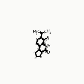 C=C(C)c1ccc2c3c(c(=O)[nH]c2c1F)CCC3